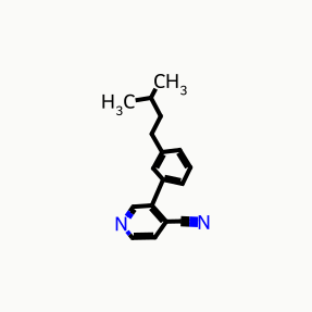 CC(C)CCc1cccc(-c2cnccc2C#N)c1